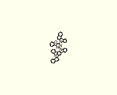 c1ccc2c(c1)ccc1c2c2ccccc2n1-c1nc(-n2c3ccccc3c3cc4c5ccc6ccccc6c5n5c6ccccc6c(c32)c45)nc2c1oc1ccccc12